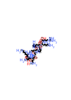 N=C(N)NCC/C=C(\NC(=O)[C@H](CCCCN)NC(=O)[C@H](Cc1cnc[nH]1)NC(=O)[C@@H]1CCCN1C(=O)[C@@H](CCCN)NC(=O)CNC(=O)[C@H](CCCN)NC(=O)[C@@H](NC(=O)[C@@H](N)CCCCN)[C@@H](O)CN)C(=O)O